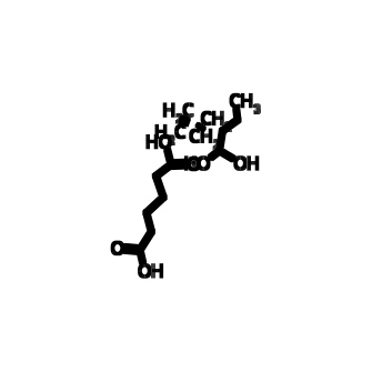 C=C.C=C.CCCC(O)O.O=C(O)CCCCC(=O)O